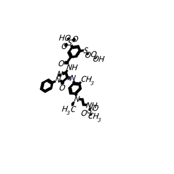 CCN(CCNS(C)(=O)=O)c1ccc(/N=C2\C(=O)N(c3ccccc3)N=C2NC(=O)c2cc(SOOO)cc(S(=O)(=O)O)c2)c(C)c1